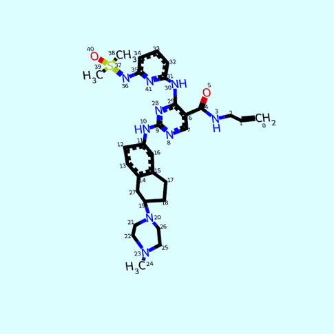 C=CCNC(=O)c1cnc(Nc2ccc3c(c2)CCC(N2CCN(C)CC2)C3)nc1Nc1cccc(N=S(C)(C)=O)n1